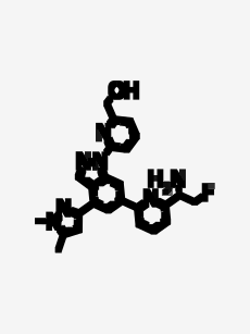 Cc1cc(-c2cc(-c3cccc([C@@H](N)CF)n3)cc3c2cnn3-c2cccc(CO)n2)nn1C